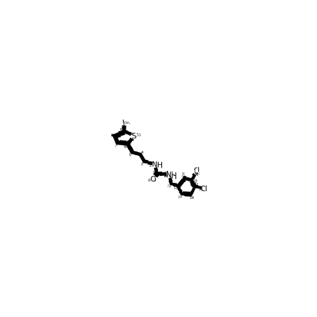 O=C(NCCCc1ccc(I)s1)NCc1ccc(Cl)c(Cl)c1